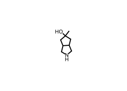 CC1(O)CC2CNCC2C1